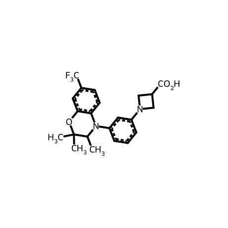 CC1N(c2cccc(N3CC(C(=O)O)C3)c2)c2ccc(C(F)(F)F)cc2OC1(C)C